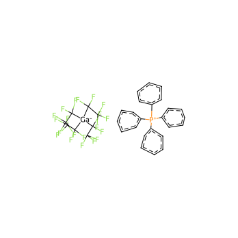 FC(F)(F)[C](F)(F)[Ga-]([C](F)(F)C(F)(F)F)([C](F)(F)C(F)(F)F)[C](F)(F)C(F)(F)F.c1ccc([P+](c2ccccc2)(c2ccccc2)c2ccccc2)cc1